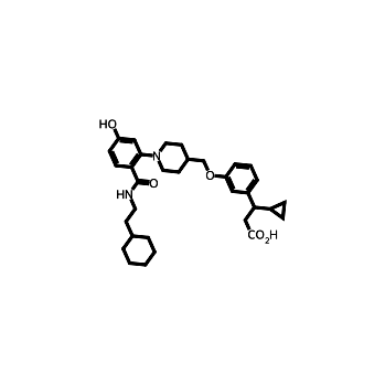 O=C(O)CC(c1cccc(OCC2CCN(c3cc(O)ccc3C(=O)NCCC3CCCCC3)CC2)c1)C1CC1